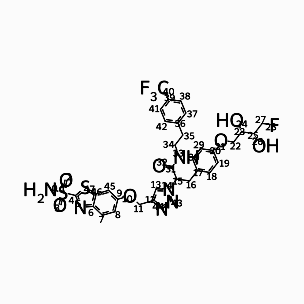 NS(=O)(=O)c1nc2ccc(OCc3cn(C(Cc4ccc(OC[C@H](O)[C@@H](O)CF)cc4)C(=O)NCCc4ccc(C(F)(F)F)cc4)nn3)cc2s1